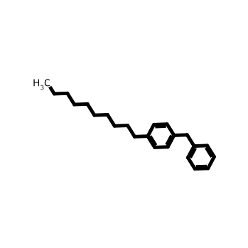 CCCCCCCCCCc1ccc(Cc2ccccc2)cc1